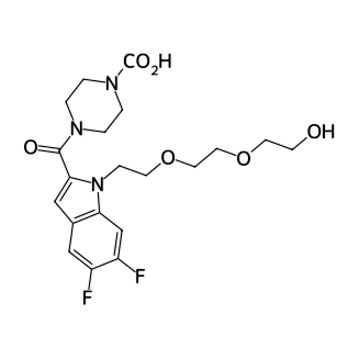 O=C(O)N1CCN(C(=O)c2cc3cc(F)c(F)cc3n2CCOCCOCCO)CC1